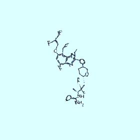 C[C@H](NC(N)=O)C(F)(F)C[C@@H]1CC[C@@H](Oc2nc3c(F)cc(OCC(F)F)c(F)c3n2C)CO1